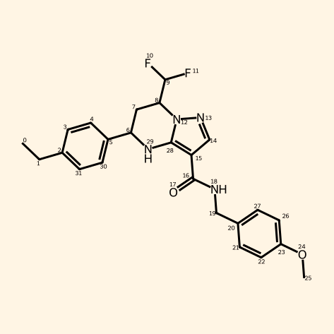 CCc1ccc(C2CC(C(F)F)n3ncc(C(=O)NCc4ccc(OC)cc4)c3N2)cc1